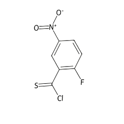 O=[N+]([O-])c1ccc(F)c(C(=S)Cl)c1